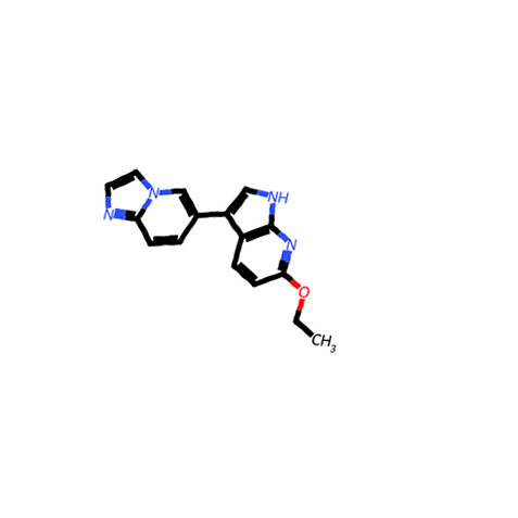 CCOc1ccc2c(-c3ccc4nccn4c3)c[nH]c2n1